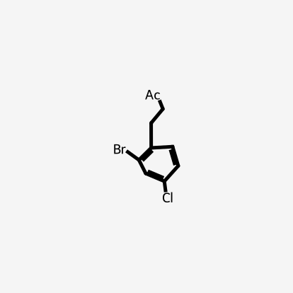 CC(=O)CCc1ccc(Cl)cc1Br